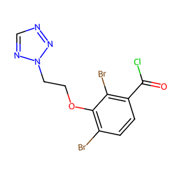 O=C(Cl)c1ccc(Br)c(OCCn2ncnn2)c1Br